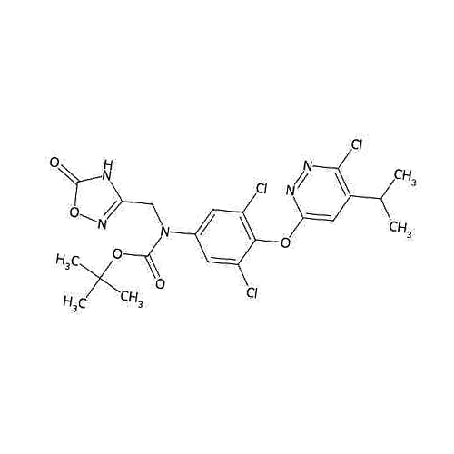 CC(C)c1cc(Oc2c(Cl)cc(N(Cc3noc(=O)[nH]3)C(=O)OC(C)(C)C)cc2Cl)nnc1Cl